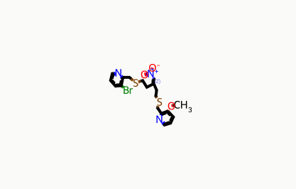 COc1cccnc1CSCC/C(=C/[N+](=O)[O-])CCSCc1ncccc1Br